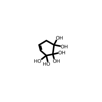 OC1(O)C=CCC(O)(O)C1(O)O